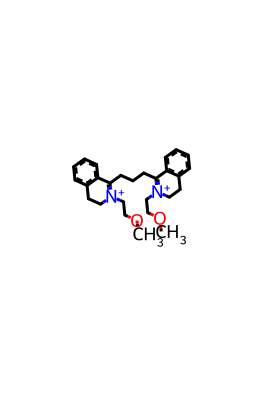 COCC[N+]1=C(CCCC2=[N+](CCOC)CCc3ccccc32)c2ccccc2CC1